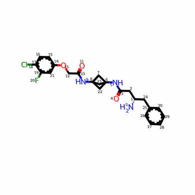 N[C@H](CC(=O)NC12CC(NC(=O)COc3ccc(Cl)c(F)c3)(C1)C2)Cc1ccccc1